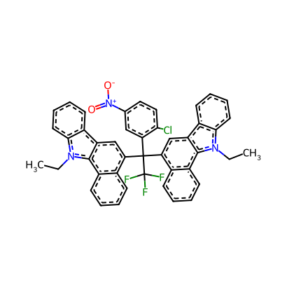 CCn1c2ccccc2c2cc(C(c3cc([N+](=O)[O-])ccc3Cl)(c3cc4c5ccccc5n(CC)c4c4ccccc34)C(F)(F)F)c3ccccc3c21